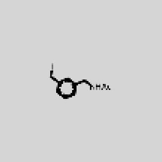 CC(=O)NCc1cccc(CI)c1